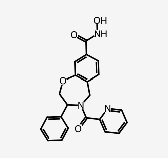 O=C(NO)c1ccc2c(c1)OCC(c1ccccc1)N(C(=O)c1ccccn1)C2